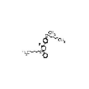 CCCCCCO[C@]1(c2ccccc2)C=CC(c2ccc(OC(C)CCCCC)cc2)=C(F)C1